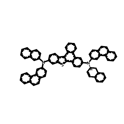 C1=C[C@H](N(c2ccc3ccc4ccccc4c3c2)c2ccc3c(c2)c2ccccc2c2c4ccc(N(c5ccc6ccccc6c5)c5ccc6ccc7ccccc7c6c5)cc4sc32)Cc2ccccc21